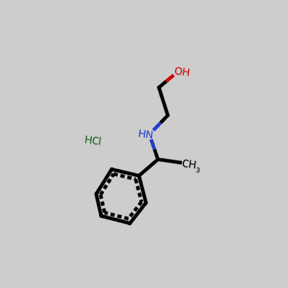 CC(NCCO)c1ccccc1.Cl